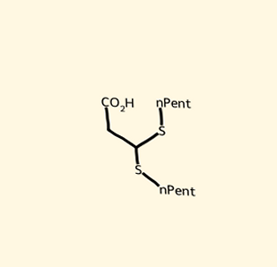 CCCCCSC(CC(=O)O)SCCCCC